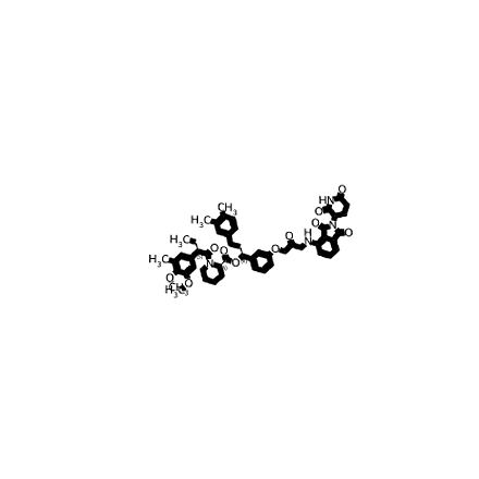 CC[C@H](C(=O)N1CCCC[C@H]1C(=O)O[C@H](CCc1ccc(C)c(C)c1)c1cccc(OCC(=O)CNc2cccc3c2C(=O)N(C2CCC(=O)NC2=O)C3=O)c1)c1cc(C)c(OC)c(OC)c1